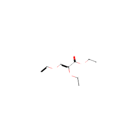 C=COC=C(OCC)C(=O)OCC